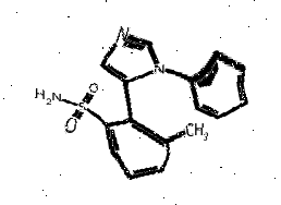 Cc1cccc(S(N)(=O)=O)c1-c1cncn1-c1ccccc1